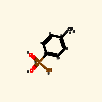 O=S(=O)(S)c1ccc(C(F)(F)F)cc1